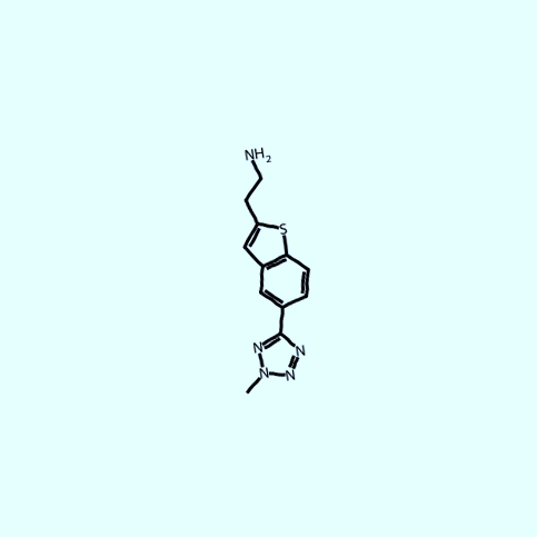 Cn1nnc(-c2ccc3sc(CCN)cc3c2)n1